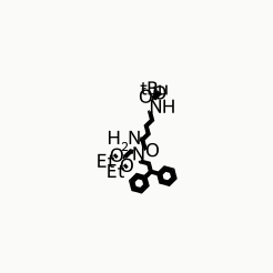 CCOC(CN(CCC(c1ccccc1)c1ccccc1)C(=O)C(N)CCCCNC(=O)OC(C)(C)C)OCC